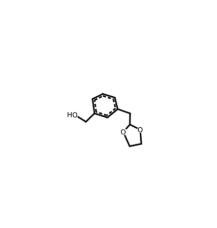 OCc1cccc(CC2OCCO2)c1